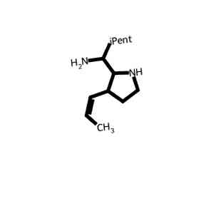 C/C=C\C1CCNC1C(N)C(C)CCC